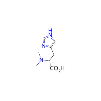 CN(C)[C@H](Cc1c[nH]cn1)C(=O)O